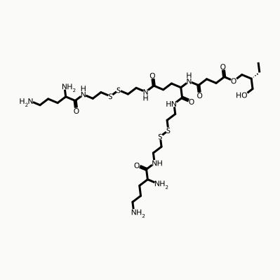 CC[C@H](CO)COC(=O)CCC(=O)NC(CCC(=O)NCCSSCCNC(=O)C(N)CCCN)C(=O)NCCSSCCNC(=O)C(N)CCCN